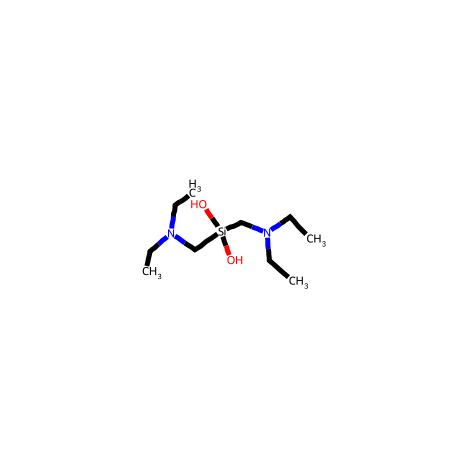 CCN(CC)C[Si](O)(O)CN(CC)CC